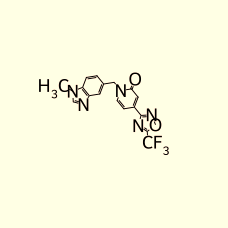 Cn1cnc2cc(Cn3ccc(-c4noc(C(F)(F)F)n4)cc3=O)ccc21